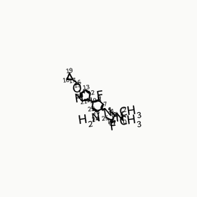 CN(C)[C@H]1CN(c2cc(F)c(-c3ccc(OCC4CC4)nc3)cc2N)C[C@@H]1F